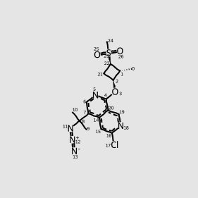 C[C@@H]1[C@@H](Oc2ncc(C(C)(C)N=[N+]=[N-])c3cc(Cl)ncc23)C[C@H]1S(C)(=O)=O